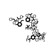 CC1COc2ccccc2N1C(=O)C(Cl)Cl.CCNc1nc(Cl)nc(NC(C)(C)C)n1.CCc1cccc(C)c1N(C(=O)CCl)C(C)COC.Nc1c([N+](=O)[O-])cnn1-c1c(Cl)cc(C(F)(F)F)cc1Cl